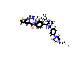 COc1cc(-c2nc([C@H]3CC[C@H](N4CCN(C)CC4)CC3)n3ccnc(C)c23)ccc1NC(=O)c1cc2ccsc2n1C